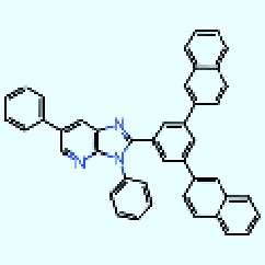 c1ccc(-c2cnc3c(c2)nc(-c2cc(-c4ccc5ccccc5c4)cc(-c4ccc5ccccc5c4)c2)n3-c2ccccc2)cc1